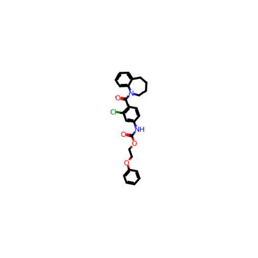 O=C(Nc1ccc(C(=O)N2CCCCc3ccccc32)c(Cl)c1)OCCOc1ccccc1